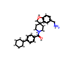 NCc1ccc2c(c1)C1(CCN(C(=O)c3ccc(C4CCCCC4)cc3)CC1)CO2